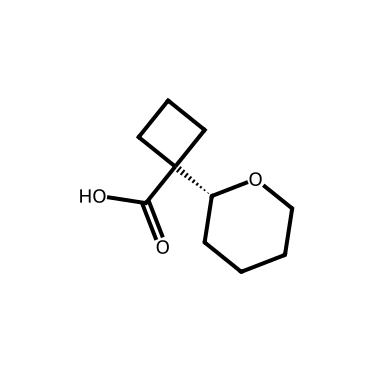 O=C(O)C1([C@H]2CCCCO2)CCC1